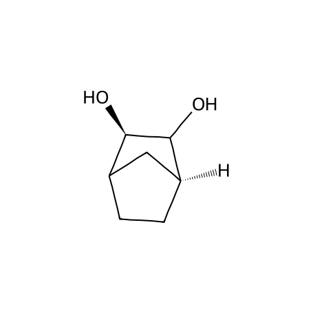 OC1[C@H]2CCC(C2)[C@H]1O